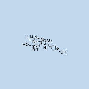 CCC[C@@H](CCO)Nc1nc(N)nc2cnn(Cc3ncc(C4CCN(CCO)CC4)cc3OC)c12